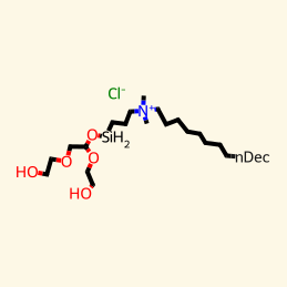 CCCCCCCCCCCCCCCCCC[N+](C)(C)CCC[SiH2]OC(COCCO)OCCO.[Cl-]